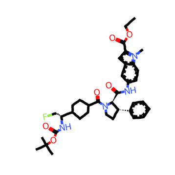 CCOC(=O)c1cc2cc(NC(=O)[C@H]3[C@H](c4ccccc4)CCN3C(=O)C3CCC([C@@H](CF)NC(=O)OC(C)(C)C)CC3)ccc2n1C